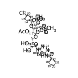 CC(=O)OC[C@H]1C(OC[C@H]2O[C@@H](n3cnc4c(NC(=O)c5ccccc5)ncnc43)[C@H](O)[C@@H]2O)OC(COS(C)(=O)=O)(COS(C)(=O)=O)[C@H]1OCc1ccc(Cl)cc1